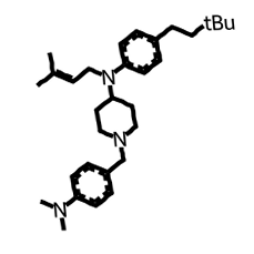 CC(C)=CCN(c1ccc(CCC(C)(C)C)cc1)C1CCN(Cc2ccc(N(C)C)cc2)CC1